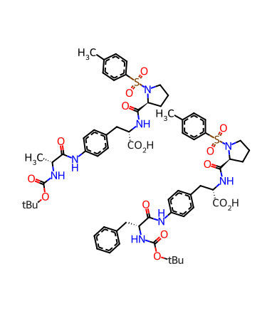 Cc1ccc(S(=O)(=O)N2CCC[C@H]2C(=O)N[C@@H](Cc2ccc(NC(=O)[C@@H](C)NC(=O)OC(C)(C)C)cc2)C(=O)O)cc1.Cc1ccc(S(=O)(=O)N2CCC[C@H]2C(=O)N[C@@H](Cc2ccc(NC(=O)[C@@H](Cc3ccccc3)NC(=O)OC(C)(C)C)cc2)C(=O)O)cc1